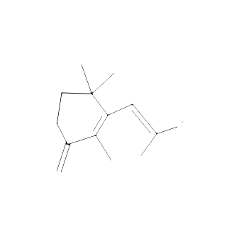 CC(=O)C(C)=CC1=C(C)C(=O)CCC1(C)C